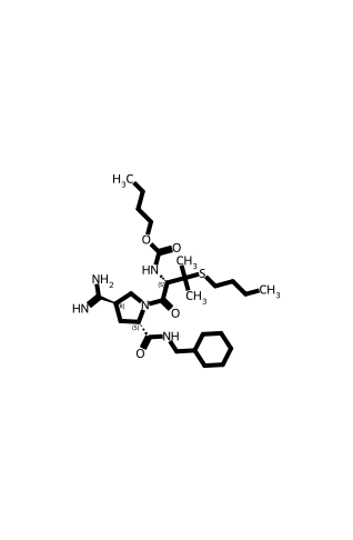 CCCCOC(=O)N[C@@H](C(=O)N1C[C@H](C(=N)N)C[C@H]1C(=O)NCC1CCCCC1)C(C)(C)SCCCC